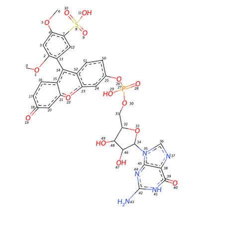 COc1cc(OC)c(S(=O)(=O)O)cc1-c1c2ccc(=O)cc-2oc2cc(OP(=O)(O)OCC3OC(n4cnc5c(=O)[nH]c(N)nc54)C(O)C3O)ccc12